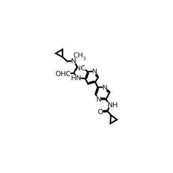 CN(CC1CC1)CC(C=O)Nc1cc(-c2cnc(NC(=O)C3CC3)cn2)cnc1C#N